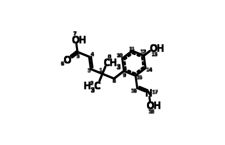 CC(C)(C=CC(=O)O)Cc1ccc(O)cc1C=NO